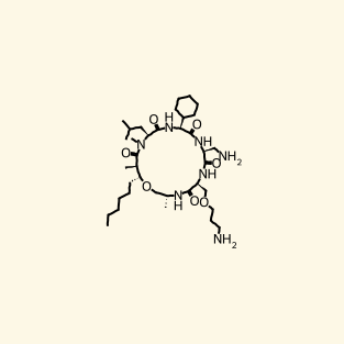 CCCCCC[C@H]1OC[C@@H](C)NC(=O)[C@H](COCCCN)NC(=O)[C@H](CN)NC(=O)[C@H](C2CCCCC2)NC(=O)[C@H](CC(C)C)N(C)C(=O)[C@@H]1C